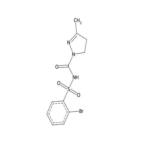 CC1=NN(C(=O)NS(=O)(=O)c2ccccc2Br)CC1